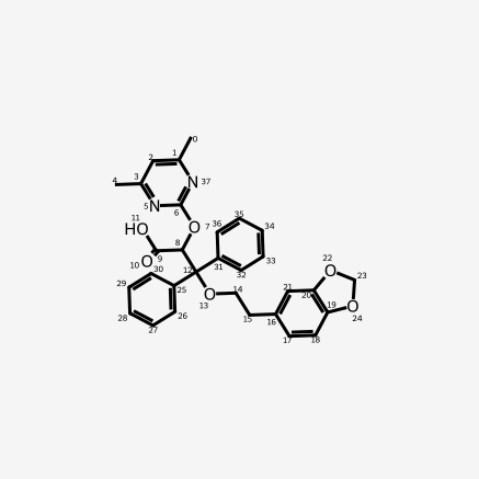 Cc1cc(C)nc(OC(C(=O)O)C(OCCc2ccc3c(c2)OCO3)(c2ccccc2)c2ccccc2)n1